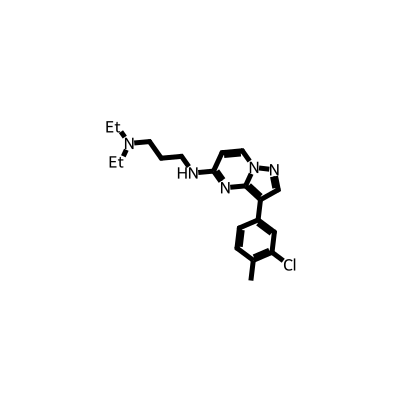 CCN(CC)CCCNc1ccn2ncc(-c3ccc(C)c(Cl)c3)c2n1